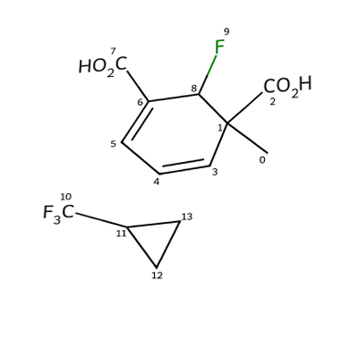 CC1(C(=O)O)C=CC=C(C(=O)O)C1F.FC(F)(F)C1CC1